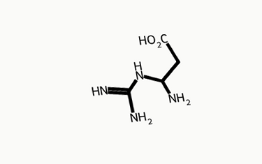 N=C(N)NC(N)CC(=O)O